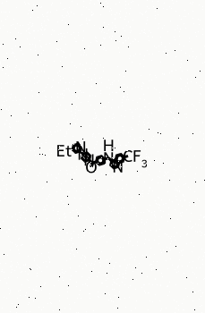 CCc1ccnc(N2CCN(C(=O)c3ccc(Nc4ccnc5cc(C(F)(F)F)ccc45)cc3)CC2)c1